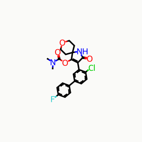 CN(C)C(=O)OC1=C(c2cc(-c3ccc(F)cc3)ccc2Cl)C(=O)NC12CCOCC2